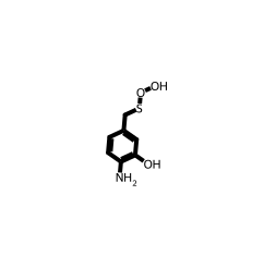 Nc1ccc(CSOO)cc1O